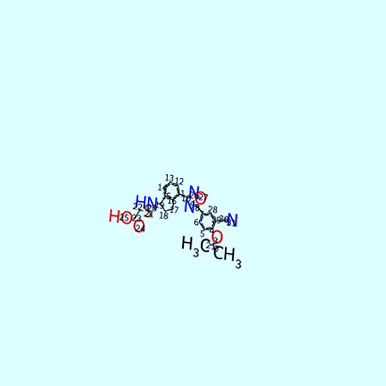 CC(C)Oc1ccc(-c2nc(-c3cccc4c3CCC4NSCC(=O)O)no2)cc1C#N